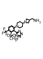 CS(=O)(=O)c1c(C(F)(F)F)ccc(N2CCC(N3CC(CN)C3)CC2)c1-c1nnn[nH]1